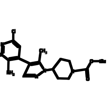 Cc1c(-c2cc(Cl)nnc2N)cnn1C1CCN(C(=O)OC(C)(C)C)CC1